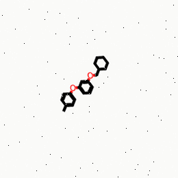 Cc1ccc(Oc2cccc(OCC3CCCCC3)c2)cc1